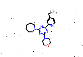 C=Cc1ccnc(-c2nc(N3CCCCCC3)nc(N3CCOCC3)n2)c1